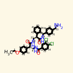 CCOc1ccc([C@@H](CNC(=O)c2ccc(Cl)c(Cl)c2)C(=O)NC[C@H](C(=O)NCc2ccc(CN)cc2)c2ccccc2)cc1